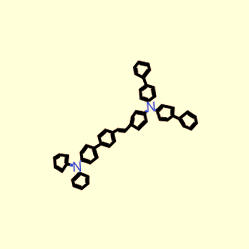 C(=C\c1ccc(N(c2ccc(-c3ccccc3)cc2)c2ccc(-c3ccccc3)cc2)cc1)/c1ccc(-c2ccc(N(c3ccccc3)c3ccccc3)cc2)cc1